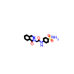 NS(=O)(=O)c1ccc(NC(=O)Cn2ncc3ccccc3c2=O)cc1